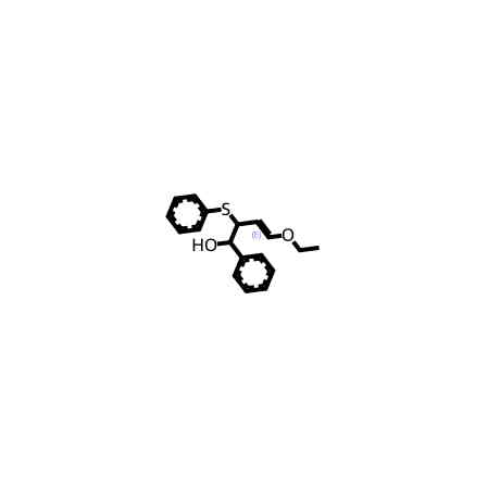 CCO/C=C/C(Sc1ccccc1)C(O)c1ccccc1